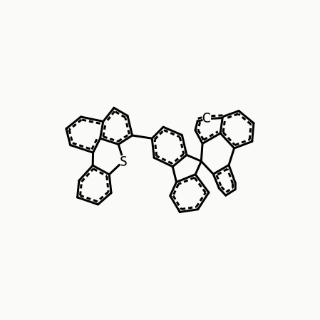 c1ccc2c(c1)Sc1c(-c3ccc4c(c3)-c3ccccc3C43c4ccccc4-c4cccc5cccc3c45)ccc3cccc-2c13